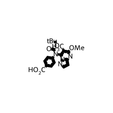 COc1nc2ccnn2c(N(C(=O)OC(C)(C)C)c2ccc(C(=O)O)cc2)c1C